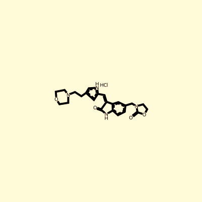 Cl.O=C1Nc2ccc(CN3CCOC3=O)cc2C1=Cc1cc(CCN2CCOCC2)c[nH]1